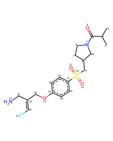 CC(C)C(=O)N1CCC(CS(=O)(=O)c2ccc(OCC(=CF)CN)cc2)C1